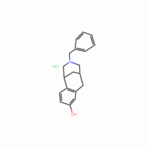 Cl.Oc1ccc2c(c1)CC1CC2CN(Cc2ccccc2)C1